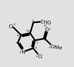 COC(=O)c1c(Cl)ncc(Cl)c1CC=O